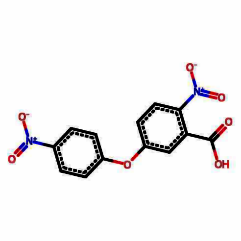 O=C(O)c1cc(Oc2ccc([N+](=O)[O-])cc2)ccc1[N+](=O)[O-]